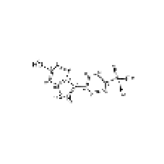 Oc1ccc2c(-c3ccc(C(F)(F)F)cc3)nsc2c1